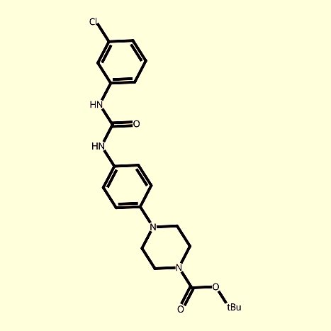 CC(C)(C)OC(=O)N1CCN(c2ccc(NC(=O)Nc3cccc(Cl)c3)cc2)CC1